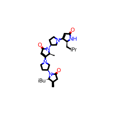 C=C1CC(=O)N([C@H]2CCN(C3=CC(=O)N([C@H]4CCN(C5=CC(=O)N[C@H]5CC(C)C)C4)[C@H]3C)C2)C1[C@@H](C)CC